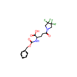 O=C(NC(CCC(=O)N1CC(F)(F)C(F)(F)C1)C(=O)O)OCc1ccccc1